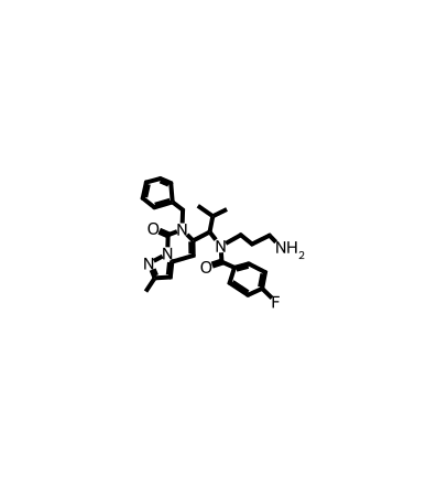 Cc1cc2cc(C(C(C)C)N(CCCN)C(=O)c3ccc(F)cc3)n(Cc3ccccc3)c(=O)n2n1